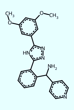 COc1cc(OC)cc(-c2nnc(-c3ccccc3C(N)c3ccncc3)[nH]2)c1